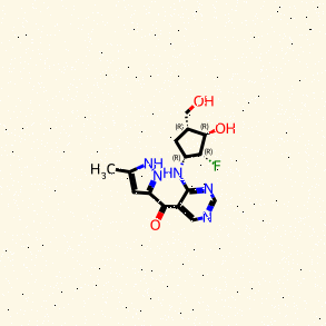 Cc1cc(C(=O)c2cncnc2N[C@@H]2C[C@H](CO)[C@@H](O)[C@@H]2F)n[nH]1